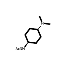 CC(=O)N[C@H]1CC[C@H](N(C)C)CC1